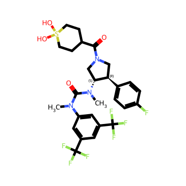 CN(C(=O)N(C)[C@@H]1CN(C(=O)C2CCS(O)(O)CC2)C[C@H]1c1ccc(F)cc1)c1cc(C(F)(F)F)cc(C(F)(F)F)c1